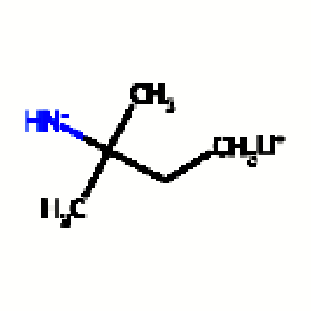 CCC(C)(C)[NH-].[Li+]